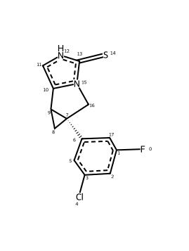 Fc1cc(Cl)cc([C@]23CC2c2c[nH]c(=S)n2C3)c1